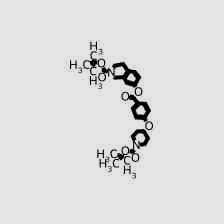 CC(C)(C)OC(=O)N1CCC(Oc2ccc(C(=O)Oc3ccc4c(c3)CN(C(=O)OC(C)(C)C)CC4)cc2)CC1